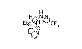 CCOc1ccc2cccnc2c1C(=O)N1C[C@H]2C[C@@H](Nc3ccc(C(F)(F)F)cn3)[C@@H]1C2